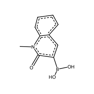 Cn1c(=O)c(B(O)O)cc2ccccc21